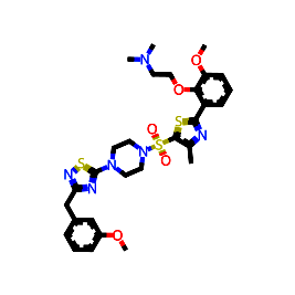 COc1cccc(Cc2nsc(N3CCN(S(=O)(=O)c4sc(-c5cccc(OC)c5OCCN(C)C)nc4C)CC3)n2)c1